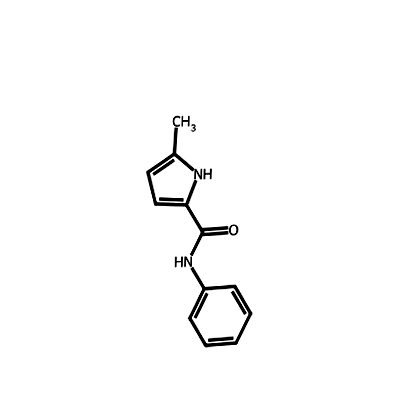 Cc1ccc(C(=O)Nc2ccccc2)[nH]1